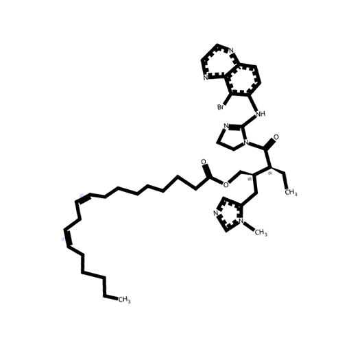 CCCCC/C=C\C/C=C\CCCCCCCC(=O)OC[C@H](Cc1cncn1C)[C@H](CC)C(=O)N1CCN=C1Nc1ccc2nccnc2c1Br